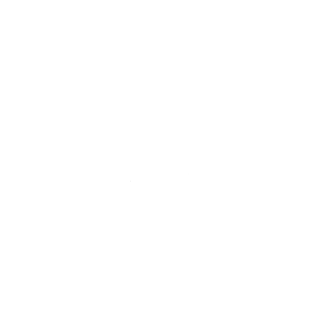 CCc1cc(CCc2nc3c(C)cccc3o2)c(=O)[nH]c1C